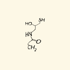 C=CC(=O)NCC(O)CS